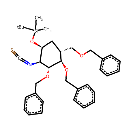 CC(C)(C)[Si](C)(C)O[C@H]1C[C@H](COCc2ccccc2)[C@@H](OCc2ccccc2)[C@H](OCc2ccccc2)[C@H]1N=C=S